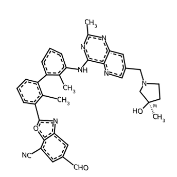 Cc1nc(Nc2cccc(-c3cccc(-c4nc5cc(C=O)cc(C#N)c5o4)c3C)c2C)c2ncc(CN3CC[C@@](C)(O)C3)cc2n1